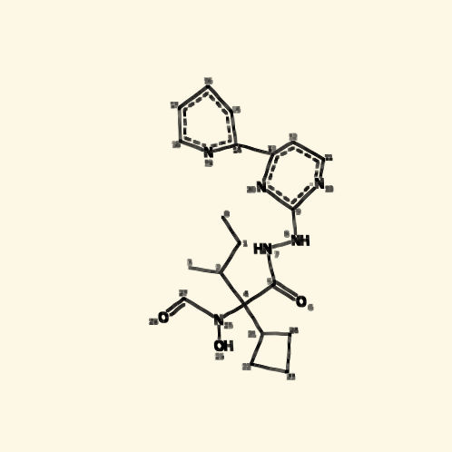 CCC(C)C(C(=O)NNc1nccc(-c2ccccn2)n1)(C1CCC1)N(O)C=O